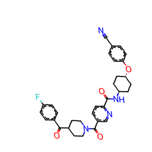 N#Cc1ccc(O[C@H]2CC[C@H](NC(=O)c3ccc(C(=O)N4CCC(C(=O)c5ccc(F)cc5)CC4)cn3)CC2)cc1